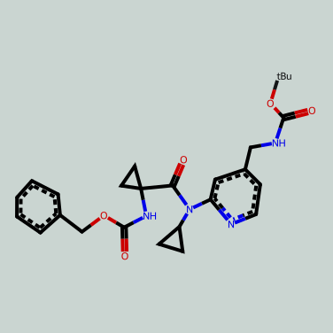 CC(C)(C)OC(=O)NCc1ccnc(N(C(=O)C2(NC(=O)OCc3ccccc3)CC2)C2CC2)c1